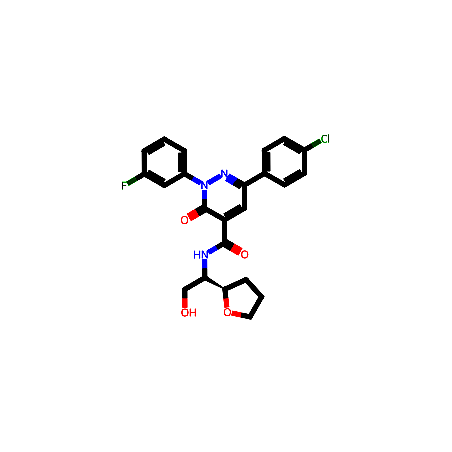 O=C(NC(CO)[C@H]1CCCO1)c1cc(-c2ccc(Cl)cc2)nn(-c2cccc(F)c2)c1=O